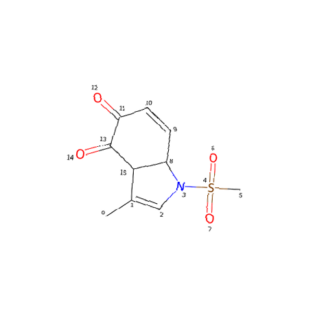 CC1=CN(S(C)(=O)=O)C2C=CC(=O)C(=O)C12